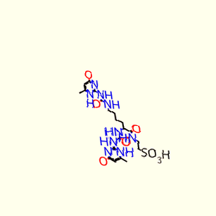 Cc1cc(=O)nc(NC(=O)NCCCCC(NC(=O)Nc2nc(=O)cc(C)[nH]2)C(=O)NCCS(=O)(=O)O)[nH]1